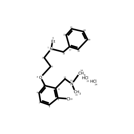 CCN(CCOc1cccc(Cl)c1CN(C)C)Cc1ccccc1.Cl.Cl